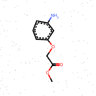 COC(=O)COc1cccc(N)c1